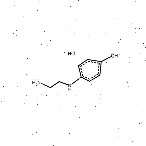 Cl.NCCNc1ccc(O)cc1